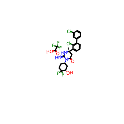 C[C@@]1(c2cccc(-c3cccc(Cl)c3)c2Cl)CC(=O)N([C@@H]2CCC(F)(F)[C@@H](O)C2)C(=N)N1.O=C(O)C(F)(F)F